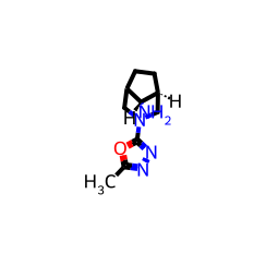 Cc1nnc(N2CC3CC[C@@H](C2)[C@@H]3N)o1